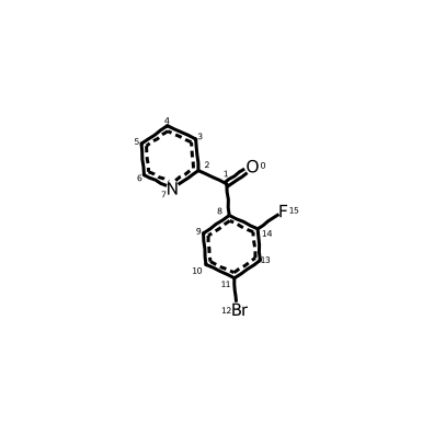 O=C(c1ccccn1)c1ccc(Br)cc1F